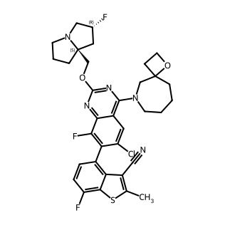 Cc1sc2c(F)ccc(-c3c(Cl)cc4c(N5CCCCC6(CCO6)C5)nc(OC[C@@]56CCCN5C[C@H](F)C6)nc4c3F)c2c1C#N